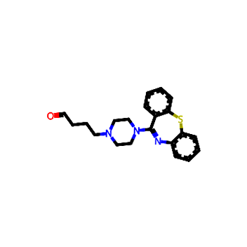 O=CCCCN1CCN(C2=Nc3ccccc3Sc3ccccc32)CC1